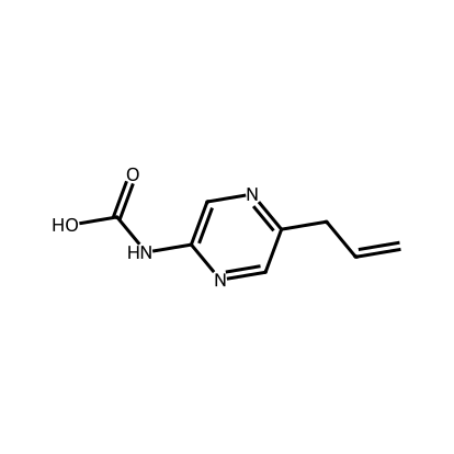 C=CCc1cnc(NC(=O)O)cn1